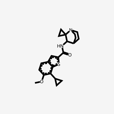 COc1ccc2cc(C(=O)NC3C4CCN(CC4)C34CC4)sc2c1C1CC1